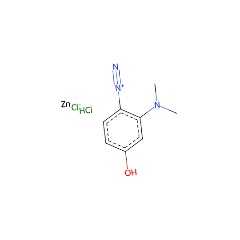 CN(C)c1cc(O)ccc1[N+]#N.Cl.[Cl-].[Zn]